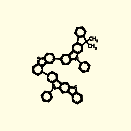 CC1(C)c2ccccc2-c2cc3c4cc(-c5ccc6sc7cccc(-c8ccc9c%10cc%11sc%12ccccc%12c%11cc%10n(-c%10ccccc%10)c9c8)c7c6c5)ccc4n(-c4ccccc4)c3cc21